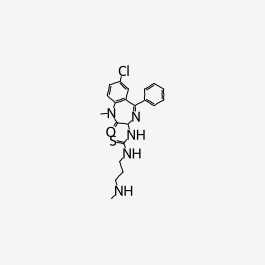 CNCCCNC(=S)NC1N=C(c2ccccc2)c2cc(Cl)ccc2N(C)C1=O